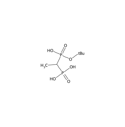 CC(P(=O)(O)O)P(=O)(O)OC(C)(C)C